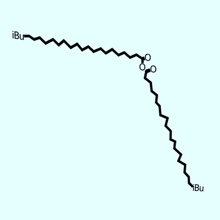 CCC(C)CCCCCCCCCCCCCCCCCCCC(=O)OC(=O)CCCCCCCCCCCCCCCCCCCC(C)CC